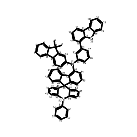 CC1(C)c2ccccc2-c2ccc(N(c3cccc(-c4cccc5c4sc4ccccc45)c3)c3cccc4c3-c3ccccc3C43c4ccccc4N(c4ccccc4)c4ccccc43)cc21